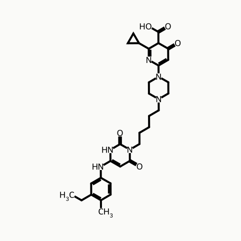 CCc1cc(Nc2cc(=O)n(CCCCCN3CCN(C4=CC(=O)C(C(=O)O)C(C5CC5)=N4)CC3)c(=O)[nH]2)ccc1C